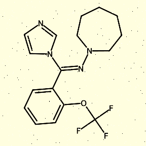 FC(F)(F)Oc1ccccc1C(=NN1CCCCCC1)n1ccnc1